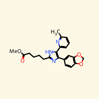 COC(=O)CCCCc1nc(-c2ccc3c(c2)OCO3)c(-c2cccc(C)n2)[nH]1